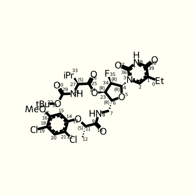 CCc1cn([C@@H]2O[C@H](CNC(=O)[C@H](C)Oc3cc(OC)c(Cl)cc3Cl)[C@@H](OC(=O)[C@@H](NC(=O)OC(C)(C)C)C(C)C)[C@H]2F)c(=O)[nH]c1=O